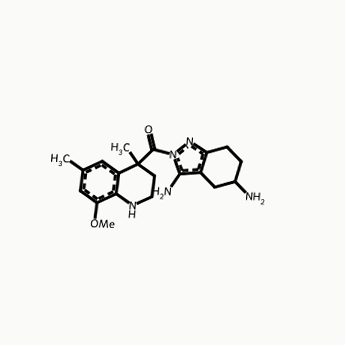 COc1cc(C)cc2c1NCCC2(C)C(=O)n1nc2c(c1N)CC(N)CC2